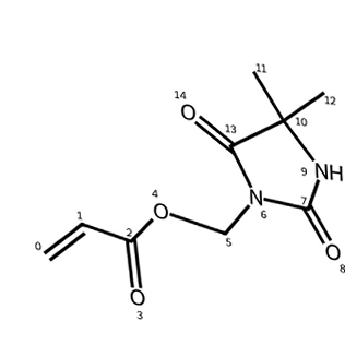 C=CC(=O)OCN1C(=O)NC(C)(C)C1=O